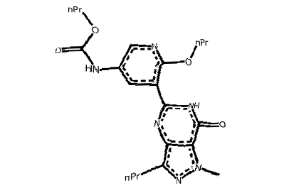 CCCOC(=O)Nc1cnc(OCCC)c(-c2nc3c(CCC)nn(C)c3c(=O)[nH]2)c1